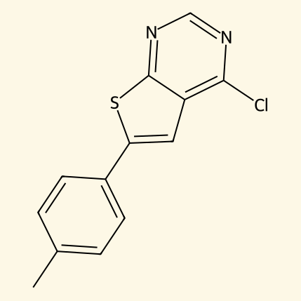 Cc1ccc(-c2cc3c(Cl)ncnc3s2)cc1